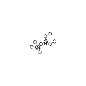 c1ccc(-c2cccc(-c3cc(-c4ccc5c(c4)cc(-c4ccccc4)n4nc(-c6ccccc6)c(-c6ccccc6)c54)nc(-c4cccc(-c5ccccc5)c4)n3)c2)cc1